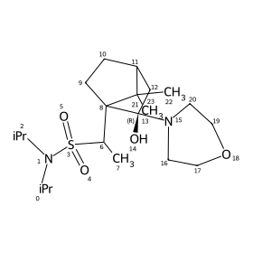 CC(C)N(C(C)C)S(=O)(=O)C(C)C12CCC(C[C@]1(O)N1CCOCC1)C2(C)C